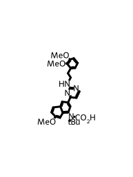 COc1ccc2cc(-c3ccnc(NCCc4cccc(OC)c4OC)n3)cc(N(C(=O)O)C(C)(C)C)c2c1